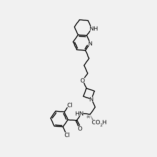 O=C(N[C@H](CN1CC(OCCCc2ccc3c(n2)NCCC3)C1)C(=O)O)c1c(Cl)cccc1Cl